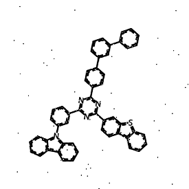 c1ccc(-c2cccc(-c3ccc(-c4nc(-c5cccc(-n6c7ccccc7c7ccccc76)c5)nc(-c5ccc6c(c5)sc5ccccc56)n4)cc3)c2)cc1